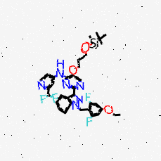 CCOc1cc(F)c(Cn2nc(-c3ncc(OCCCO[Si](C)(C)C(C)(C)C)c(Nc4ccnc(C(F)F)c4)n3)c3ccccc32)c(F)c1